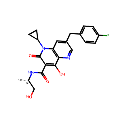 C[C@@H](CO)NC(=O)c1c(O)c2ncc(Cc3ccc(F)cc3)cc2n(C2CC2)c1=O